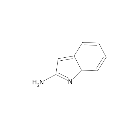 NC1=NC2C=CC=CC2=C1